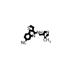 Cn1cncc1CNc1nc2cc(C#N)ccc2c2sccc12